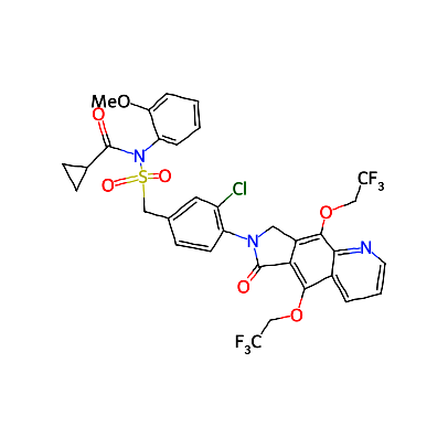 COc1ccccc1N(C(=O)C1CC1)S(=O)(=O)Cc1ccc(N2Cc3c(c(OCC(F)(F)F)c4cccnc4c3OCC(F)(F)F)C2=O)c(Cl)c1